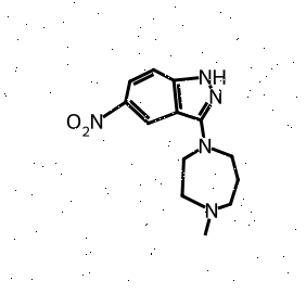 CN1CCCN(c2n[nH]c3ccc([N+](=O)[O-])cc23)CC1